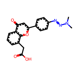 CN(C)N=Nc1ccc(-c2cc(=O)c3cccc(CC(=O)O)c3o2)cc1